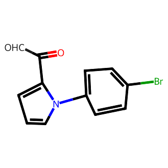 O=CC(=O)c1cccn1-c1ccc(Br)cc1